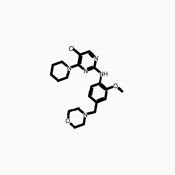 COc1cc(CN2CCOCC2)ccc1Nc1ncc(Cl)c(N2CCCCC2)n1